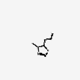 CC1N=CSC1CCO